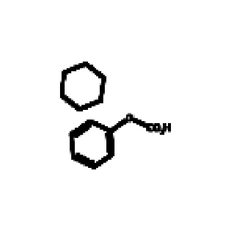 C1CCCCC1.O=C(O)Oc1ccccc1